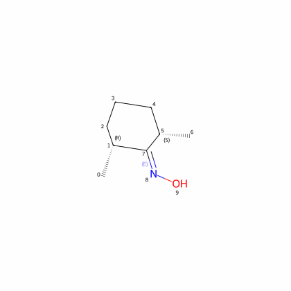 C[C@@H]1CCC[C@H](C)/C1=N\O